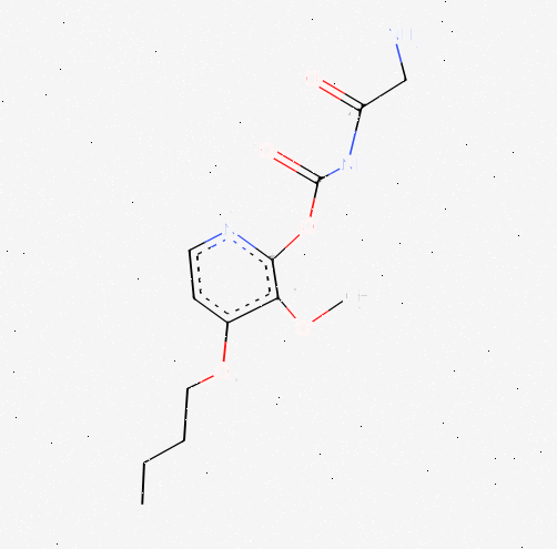 CCCCOc1ccnc(OC(=O)NC(=O)CN)c1OC